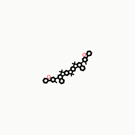 Cc1cc2c(cc1-c1cc3c(c4ccccc14)-c1cc4c(cc1C3(C)C)-c1cc3c(cc1C4(C)C)-c1c(cc(-c4cc5oc6ccccc6c5cc4C)c4ccccc14)C3(C)C)oc1ccccc12